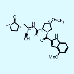 C#C[C@H](C[C@@H]1CCNC1=O)NC(=O)[C@@H]1C[C@@H](OC(F)(F)F)CN1C(=O)c1cc2c(OC)cccc2[nH]1